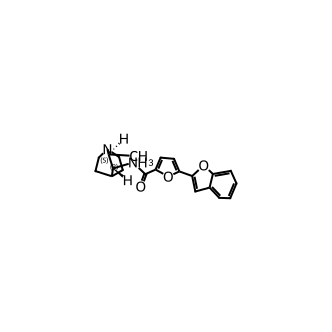 C[C@H]1[C@H](NC(=O)c2ccc(-c3cc4ccccc4o3)o2)C2CCN1CC2